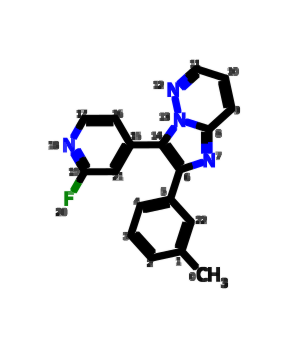 Cc1cccc(-c2nc3cccnn3c2-c2ccnc(F)c2)c1